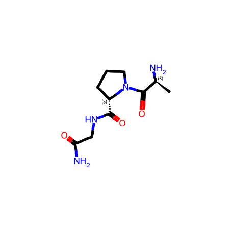 C[C@H](N)C(=O)N1CCC[C@H]1C(=O)NCC(N)=O